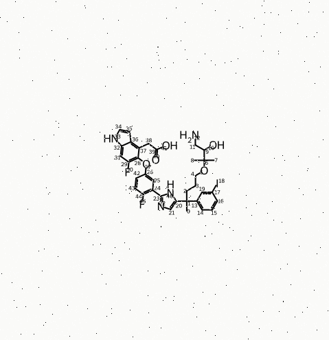 CC(CCCOC(C)(C)C(O)CN)(c1cccc(I)c1)c1cnc(-c2cc(Oc3c(F)cc4[nH]ccc4c3CC(=O)O)ccc2F)[nH]1